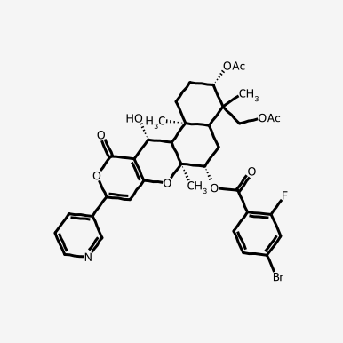 CC(=O)OCC1(C)C2C[C@H](OC(=O)c3ccc(Br)cc3F)[C@@]3(C)Oc4cc(-c5cccnc5)oc(=O)c4[C@H](O)C3[C@@]2(C)CC[C@@H]1OC(C)=O